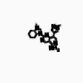 CN1CN(c2ncc3c(N)ncc(-c4cnn(C)c4)c3n2)C2CCCCC21